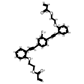 C=CC(=O)OCCOc1ccccc1C#Cc1ccc(C#Cc2ccccc2OCCOC(=O)C=C)c(F)c1